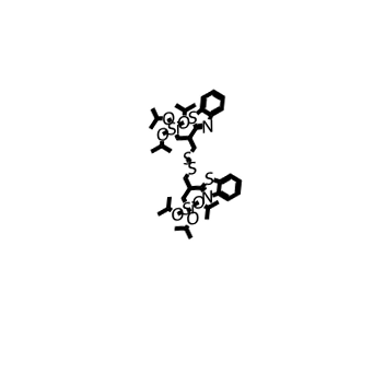 CC(C)O[Si](CC(CSSCC(C[Si](OC(C)C)(OC(C)C)OC(C)C)c1nc2ccccc2s1)c1nc2ccccc2s1)(OC(C)C)OC(C)C